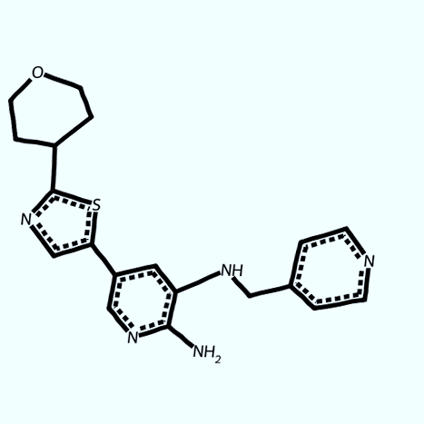 Nc1ncc(-c2cnc(C3CCOCC3)s2)cc1NCc1ccncc1